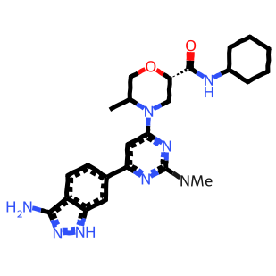 CNc1nc(-c2ccc3c(N)n[nH]c3c2)cc(N2C[C@@H](C(=O)NC3CCCCC3)OCC2C)n1